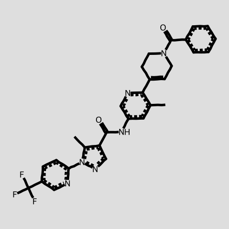 Cc1cc(NC(=O)c2cnn(-c3ccc(C(F)(F)F)cn3)c2C)cnc1C1=CCN(C(=O)c2ccccc2)CC1